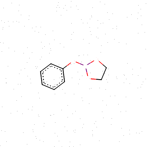 c1ccc(OP2OCCO2)cc1